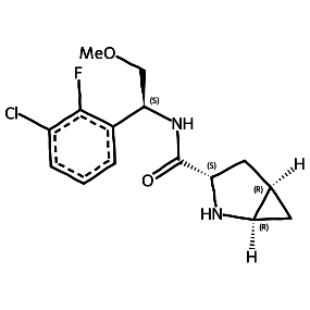 COC[C@@H](NC(=O)[C@@H]1C[C@H]2C[C@H]2N1)c1cccc(Cl)c1F